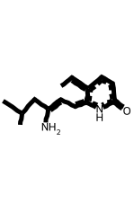 C/C=c1/ccc(=O)[nH]/c1=C/C=C(\N)CC(C)C